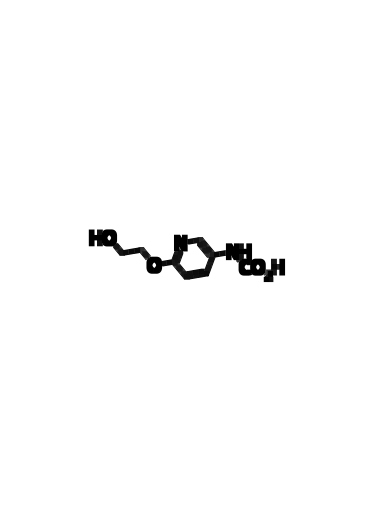 O=C(O)Nc1ccc(OCCO)nc1